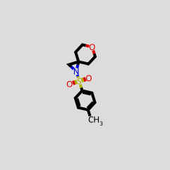 Cc1ccc(S(=O)(=O)N2CC23CCOCC3)cc1